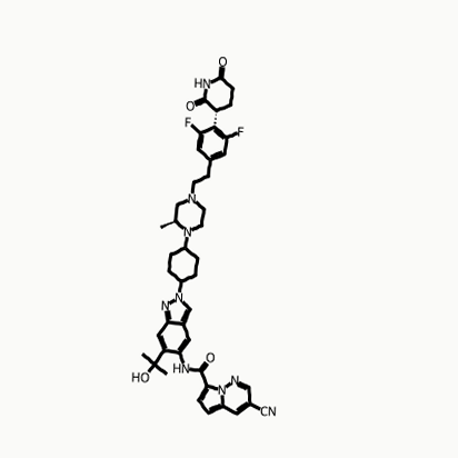 C[C@H]1CN(CCc2cc(F)c([C@H]3CCC(=O)NC3=O)c(F)c2)CCN1C1CCC(n2cc3cc(NC(=O)c4ccc5cc(C#N)cnn45)c(C(C)(C)O)cc3n2)CC1